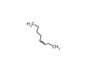 CC/C=C\CCCC